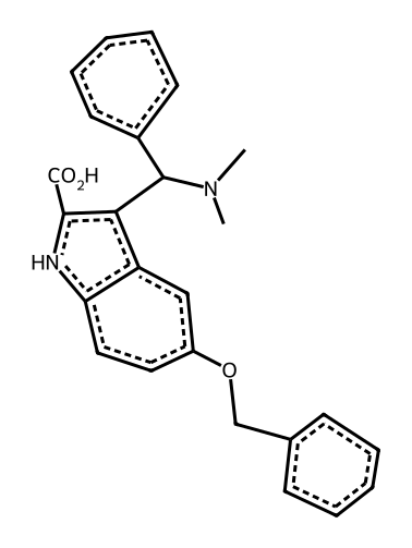 CN(C)C(c1ccccc1)c1c(C(=O)O)[nH]c2ccc(OCc3ccccc3)cc12